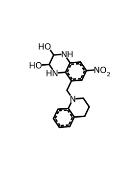 O=[N+]([O-])c1cc(CN2CCCc3ccccc32)c2c(c1)NC(O)C(O)N2